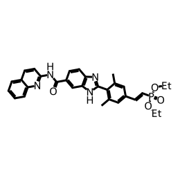 CCOP(=O)(/C=C/c1cc(C)c(-c2nc3ccc(C(=O)Nc4ccc5ccccc5n4)cc3[nH]2)c(C)c1)OCC